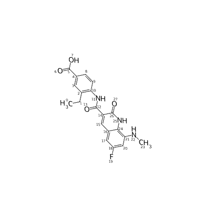 CCc1cc(C(=O)O)ccc1NC(=O)c1cc2cc(F)cc(NC)c2[nH]c1=O